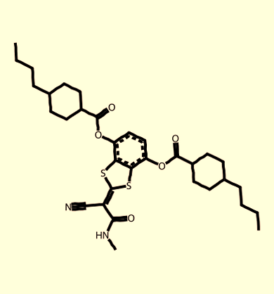 CCCCC1CCC(C(=O)Oc2ccc(OC(=O)C3CCC(CCCC)CC3)c3c2SC(=C(C#N)C(=O)NC)S3)CC1